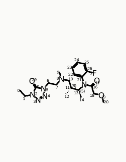 CCn1nnn(CCN(C)C[C@@H](C)[C@H](C)N(C(=O)COC)c2ccccc2F)c1=O